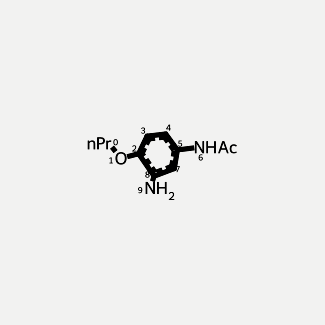 CCCOc1ccc(NC(C)=O)cc1N